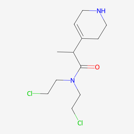 CC(C(=O)N(CCCl)CCCl)C1=CCNCC1